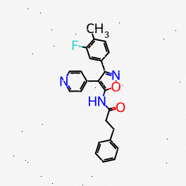 Cc1ccc(-c2noc(NC(=O)CCc3ccccc3)c2-c2ccncc2)cc1F